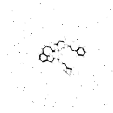 CC[C@@H](CC(=O)N[C@H]1CCc2cccc3c2N(C1=O)[C@H](C(=O)NCc1c[nH]nn1)C3)N(C)C(=O)Cc1ccccc1